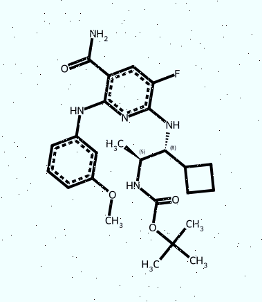 COc1cccc(Nc2nc(N[C@H](C3CCC3)[C@H](C)NC(=O)OC(C)(C)C)c(F)cc2C(N)=O)c1